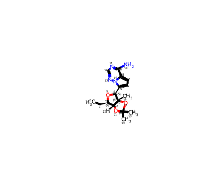 CC[C@H]1O[C@@H](c2ccc3c(N)ncnn23)[C@]2(C)OC(C)(C)O[C@H]12